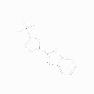 CC(C)(C)c1ccc(-c2nc3ccccc3o2)s1